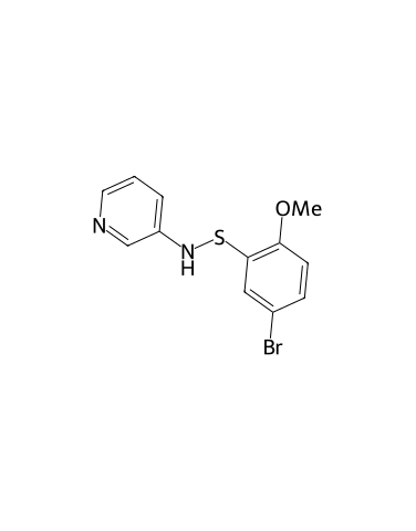 COc1ccc(Br)cc1SNc1cccnc1